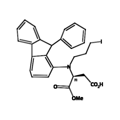 COC(=O)[C@H](CC(=O)O)N(CCCI)c1cccc2c1C(c1ccccc1)c1ccccc1-2